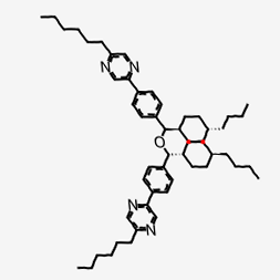 CCCCCCc1cnc(-c2ccc(C(OC(c3ccc(-c4cnc(CCCCCC)cn4)cc3)[C@H]3CC[C@H](CCCC)CC3)[C@H]3CC[C@H](CCCC)CC3)cc2)cn1